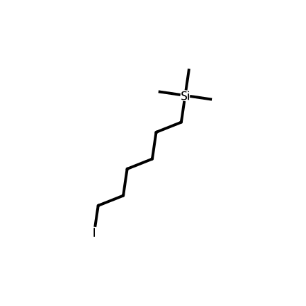 C[Si](C)(C)CCCCCCI